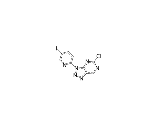 Clc1ncc2nnn(-c3ccc(I)cn3)c2n1